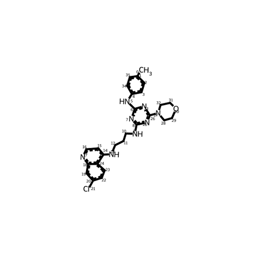 Cc1ccc(Nc2nc(NCCCNc3ccnc4cc(Cl)ccc34)nc(N3CCOCC3)n2)cc1